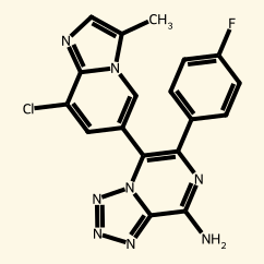 Cc1cnc2c(Cl)cc(-c3c(-c4ccc(F)cc4)nc(N)c4nnnn34)cn12